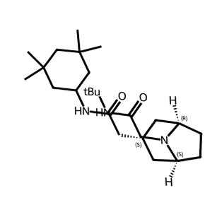 CC1(C)CC(NC(=O)C[C@@H]2C[C@H]3CC[C@@H](C2)N3CC(=O)NC(C)(C)C)CC(C)(C)C1